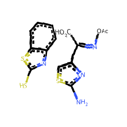 CC(=O)O/N=C(\C(=O)O)c1csc(N)n1.Sc1nc2ccccc2s1